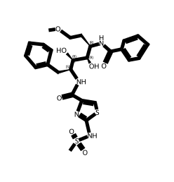 COCC[C@@H](NC(=O)c1ccccc1)[C@@H](O)[C@H](O)[C@H](Cc1ccccc1)NC(=O)c1csc(NS(C)(=O)=O)n1